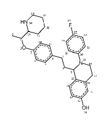 CC(Oc1ccc(CCC2c3ccc(O)cc3CCN2c2ccc(F)cc2)cc1)C1CCCCN1